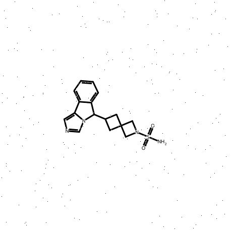 NS(=O)(=O)N1CC2(CC(C3c4ccccc4-c4cncn43)C2)C1